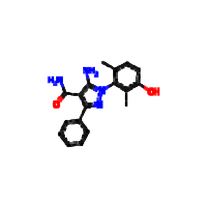 Cc1ccc(O)c(C)c1-n1nc(-c2ccccc2)c(C(N)=O)c1N